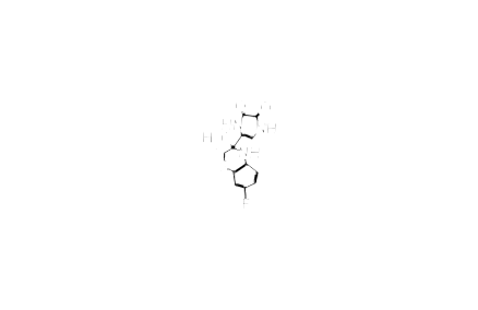 CC1(c2c[nH]c(=O)c(=O)[nH]2)CSc2cc(F)ccc2N1